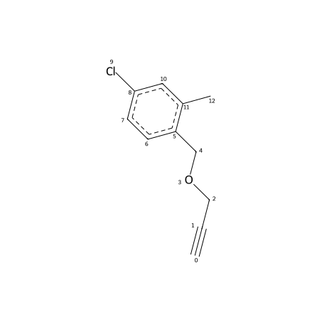 C#CCOCc1ccc(Cl)cc1C